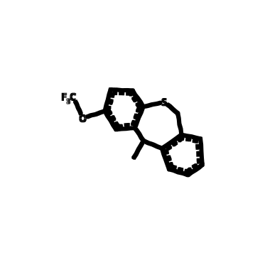 CC1c2ccccc2CSc2ccc(OC(F)(F)F)cc21